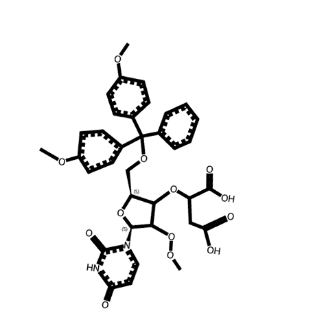 COOC1C(OC(CC(=O)O)C(=O)O)[C@H](COC(c2ccccc2)(c2ccc(OC)cc2)c2ccc(OC)cc2)O[C@@H]1n1ccc(=O)[nH]c1=O